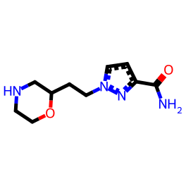 NC(=O)c1ccn(CCC2CNCCO2)n1